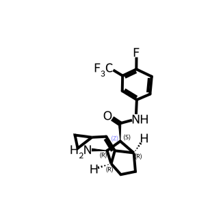 N[C@H]1[C@@H](C(=O)Nc2ccc(F)c(C(F)(F)F)c2)[C@H]2CC[C@@H]1/C2=C\C1CC1